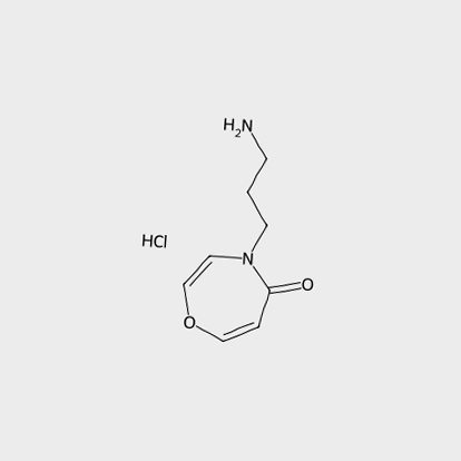 Cl.NCCCN1C=COC=CC1=O